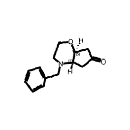 O=C1C[C@@H]2OCCN(Cc3ccccc3)[C@H]2C1